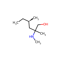 CC[C@@H](C)CC(C)(CO)NC